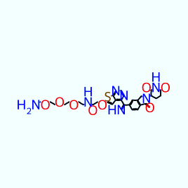 N=C(c1ccc2c(c1)CN(C1CCC(=O)NC1=O)C2=O)c1ncnc2sc(OCC(=O)NCCOCCOCCOCN)cc12